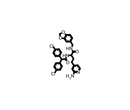 Nc1cc(CCC(NC(=O)C(c2ccc(Cl)cc2)c2ccc(Cl)cc2)C(=O)NCc2ccc3c(c2)OCO3)ccn1